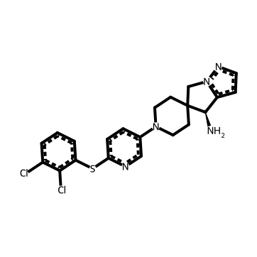 N[C@@H]1c2ccnn2CC12CCN(c1ccc(Sc3cccc(Cl)c3Cl)nc1)CC2